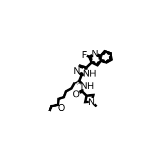 CCC(=O)CCCCC[C@H](NC(=O)C1CN(C)C1)c1ncc(-c2cc3ccccc3nc2F)[nH]1